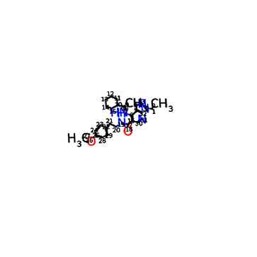 CCn1ncc2c(N[C@H](C)C3CCCCC3)c(C(=O)NCCc3ccc(OC)cc3)cnc21